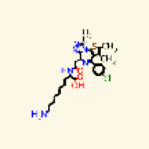 Cc1sc2c(c1C)C(c1ccc(Cl)cc1)=N[C@@H](CC(=O)NC(CCCCCCCCN)C(=O)O)c1nnc(C)n1-2